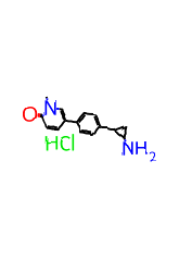 Cl.Cn1cc(-c2ccc(C3CC3N)cc2)ccc1=O